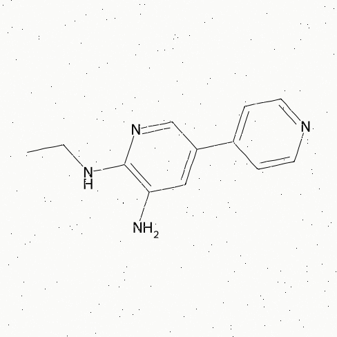 CCNc1ncc(-c2ccncc2)cc1N